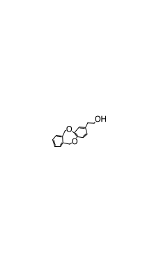 OCCc1ccc2c(c1)OCc1ccccc1CO2